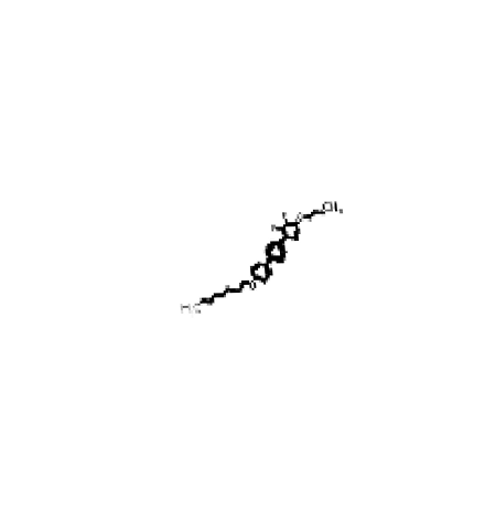 C=CCCOc1ccc(-c2ccc(-c3ccc(OCCCCCCCC)cc3)cc2)c(F)c1F